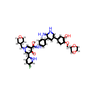 NC1NC=C(c2ccc(OC[C@H]3COCCO3)c(O)c2)C=C1c1ccc(NC(=O)c2cn(CC3CCOCC3)cc(C3C=CC(F)=CN3)c2=O)cc1